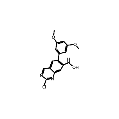 COc1cc(OC)cc(-c2cc3cnc(Cl)nc3cc2NO)c1